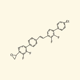 CCc1ccc(-c2ccc(/C=C/c3ccc(-c4ccc(C5CO5)c(F)c4F)cc3)c(F)c2F)cc1